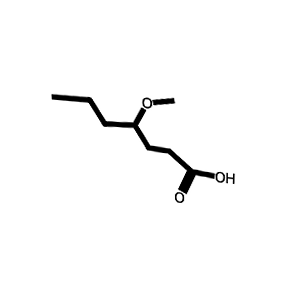 CCCC(CCC(=O)O)OC